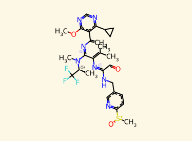 C=C(/N=C(\C(/N=C(\C=O)NCc1ccc([S+](C)[O-])nc1)=C(C)C)N(C)[C@@H](C)C(F)(F)F)c1c(OC)ncnc1C1CC1